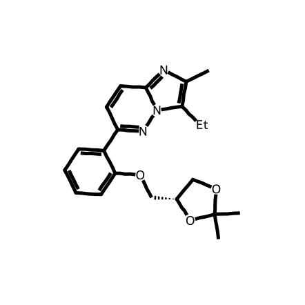 CCc1c(C)nc2ccc(-c3ccccc3OC[C@@H]3COC(C)(C)O3)nn12